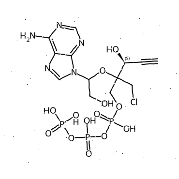 C#C[C@H](O)C(CCl)(COP(=O)(O)OP(=O)(O)OP(=O)(O)O)OC(CO)n1cnc2c(N)ncnc21